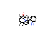 CC1(C)[C@@H]2C[C@@H]3[C@H]4C[C@@]5(Nc6ccccc6[C@@H]5N41)[C@]3(C)CC2=O